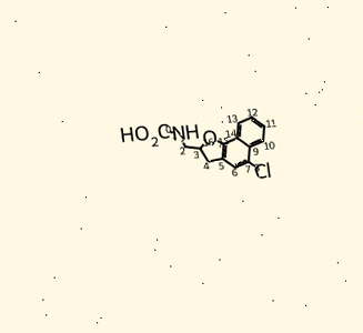 O=C(O)NCC1Cc2cc(Cl)c3ccccc3c2O1